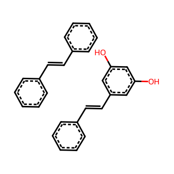 C(=Cc1ccccc1)c1ccccc1.Oc1cc(O)cc(/C=C/c2ccccc2)c1